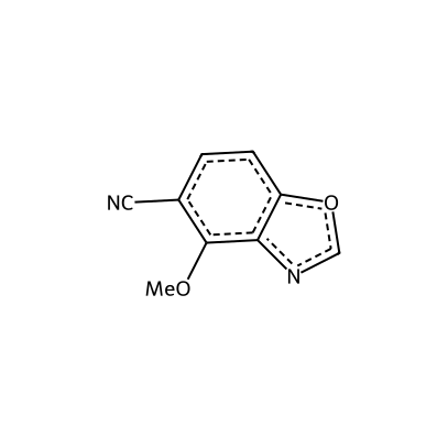 COc1c(C#N)ccc2ocnc12